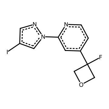 FC1(c2ccnc(-n3cc(I)cn3)c2)COC1